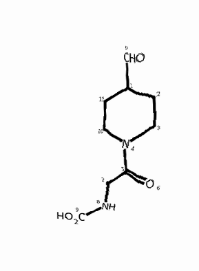 O=CC1CCN(C(=O)CNC(=O)O)CC1